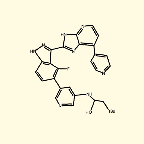 CC(C)(C)CC(O)Nc1cncc(-c2ccc3[nH]nc(-c4nc5c(-c6ccncc6)ccnc5[nH]4)c3c2F)c1